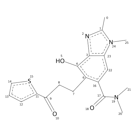 Cc1nc2c(O)c(CCC(=O)c3cccs3)c(C(=O)N(C)C)cc2n1C